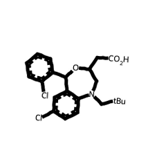 CC(C)(C)CN1CC(CC(=O)O)OC(c2ccccc2Cl)c2cc(Cl)ccc21